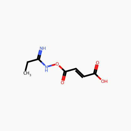 CCC(=N)NOC(=O)C=CC(=O)O